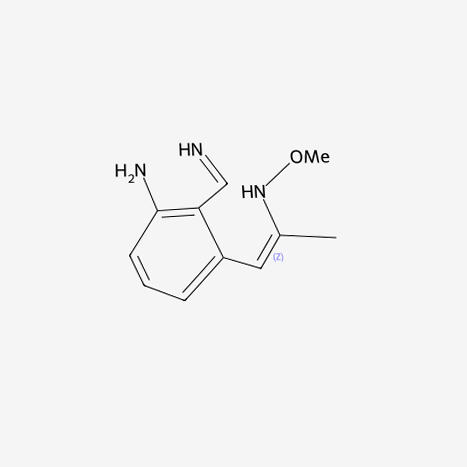 CON/C(C)=C\c1cccc(N)c1C=N